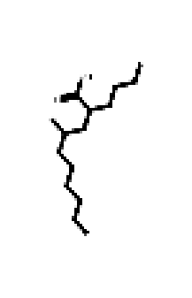 CCCCCCC(C)CC(CCCC)C(=O)O